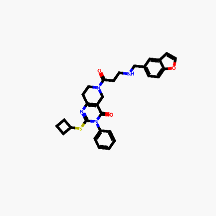 O=C(CCNCc1ccc2occc2c1)N1CCc2nc(SC3CCC3)n(-c3ccccc3)c(=O)c2C1